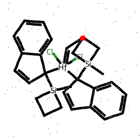 C[CH]=[Hf]([Cl])([Cl])([C]1([Si]2(C)CCC2)C=Cc2ccccc21)[C]1([Si]2(C)CCC2)C=Cc2ccccc21